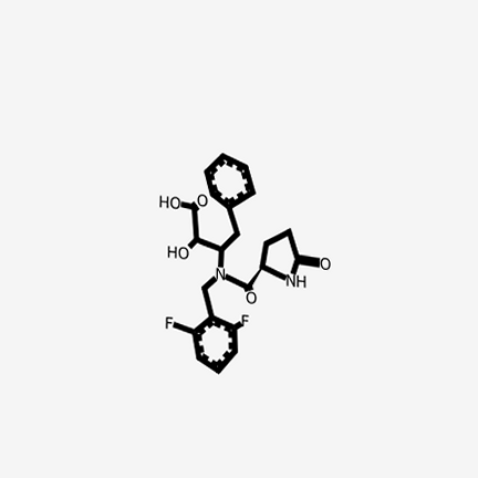 O=C1CC[C@H](C(=O)N(Cc2c(F)cccc2F)C(Cc2ccccc2)C(O)C(=O)O)N1